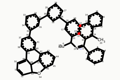 CCC(C)C(/N=C(/c1ccccc1)c1ccc2ccccc2c1C)c1cccc(-c2cccc(-c3cccc(-c4ccc5c(c4)-c4cccc6c4C4C5=CC=CC4O6)c3)c2)c1